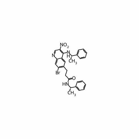 C[C@@H](NC(=O)CCc1cc2c(N[C@H](C)c3ccccc3)c([N+](=O)[O-])cnc2cc1Br)c1ccccc1